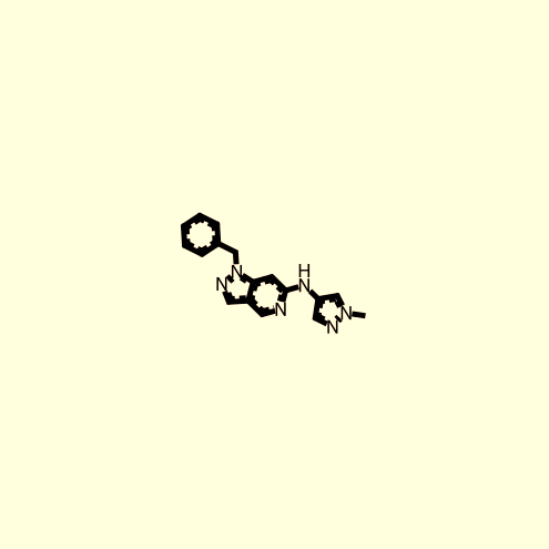 Cn1cc(Nc2cc3c(cn2)cnn3Cc2ccccc2)cn1